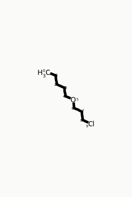 C[CH]CCCOCCCCl